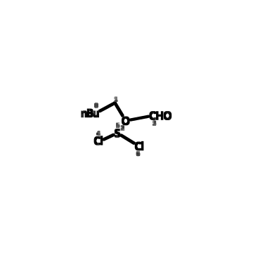 CCCCCOC=O.ClSCl